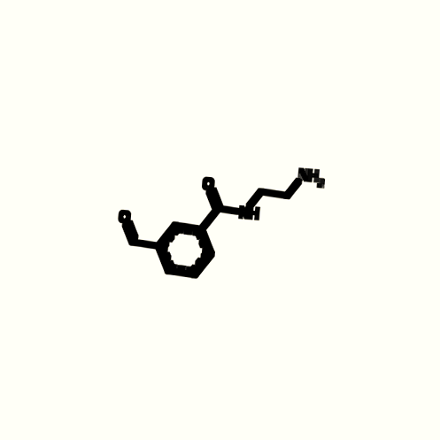 NCCNC(=O)c1cccc(C=O)c1